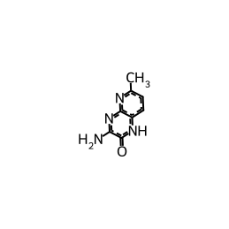 Cc1ccc2[nH]c(=O)c(N)nc2n1